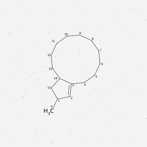 CC1C=C2CCCCCCCCCCC2C1